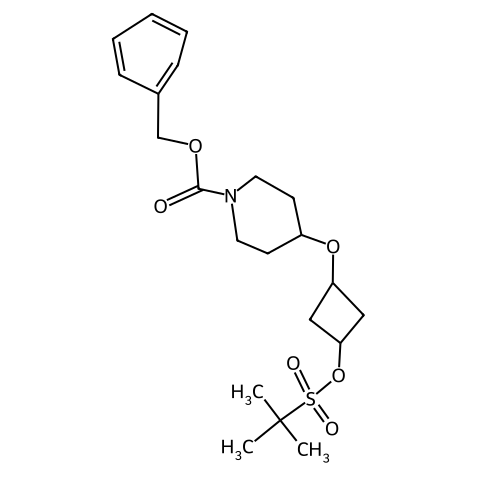 CC(C)(C)S(=O)(=O)OC1CC(OC2CCN(C(=O)OCc3ccccc3)CC2)C1